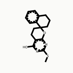 CSc1nc(O)c2c(n1)OC1(CCCc3ccccc31)CC2